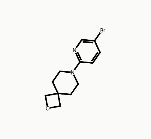 Brc1ccc(N2CCC3(CC2)COC3)nc1